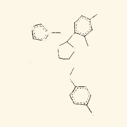 CC(=O)Nc1ccc(SC[C@@H]2CO[C@@](Cn3cncn3)(c3ccc(Cl)cc3Cl)O2)cc1.Cl